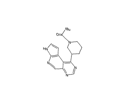 CC(C)(C)C(=O)N1CCCC(c2ncnc3cnc4[nH]ccc4c23)C1